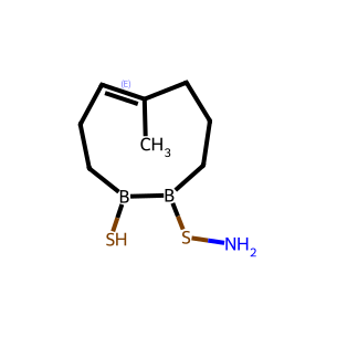 C/C1=C\CCB(S)B(SN)CCC1